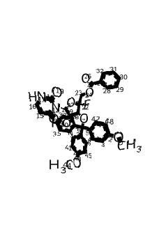 COc1ccc(C(O[C@H]2[C@H](O)[C@H](n3c(=O)cc[nH]c3=O)O[C@]2(F)COC(=O)c2ccccc2)(c2ccccc2)c2ccc(OC)cc2)cc1